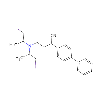 CC(CI)N(CCC(C#N)c1ccc(-c2ccccc2)cc1)C(C)CI